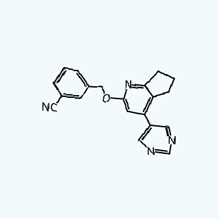 N#Cc1cccc(COc2cc(-c3cncnc3)c3c(n2)CCC3)c1